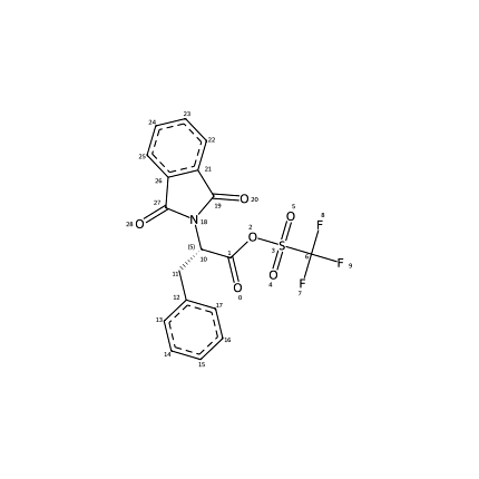 O=C(OS(=O)(=O)C(F)(F)F)[C@H](Cc1ccccc1)N1C(=O)c2ccccc2C1=O